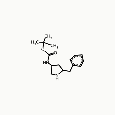 CC(C)(C)OC(=O)NC1CNC(Cc2ccccc2)C1